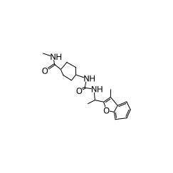 CNC(=O)C1CCC(NC(=O)NC(C)c2oc3ccccc3c2C)CC1